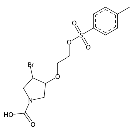 Cc1ccc(S(=O)(=O)OCCOC2CN(C(=O)O)CC2Br)cc1